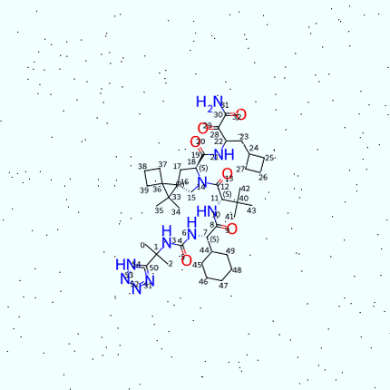 CC(C)(NC(=O)N[C@H](C(=O)N[C@H](C(=O)N1C[C@]2(C[C@H]1C(=O)NC(CC1CCC1)C(=O)C(N)=O)C(C)(C)C21CCC1)C(C)(C)C)C1CCCCC1)c1nnn[nH]1